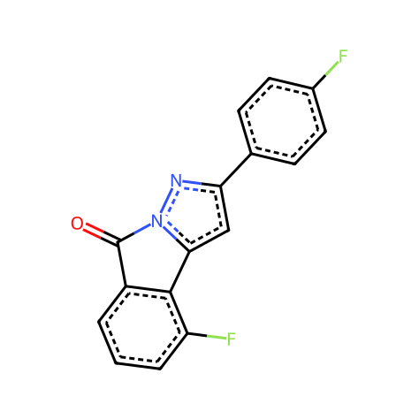 O=C1c2cccc(F)c2-c2cc(-c3ccc(F)cc3)nn21